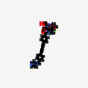 CC(O)(C(F)F)[C@H](NC(=O)c1ccc(C#CC#Cc2ccc(Cn3ccnc3)cc2)cc1)C(=O)NO